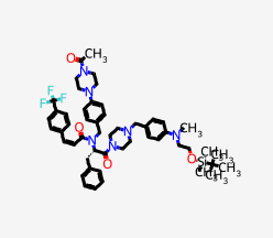 CC(=O)N1CCN(c2ccc(CN(C(=O)/C=C\c3ccc(C(F)(F)F)cc3)[C@@H](Cc3ccccc3)C(=O)N3CCN(Cc4ccc(N(C)CCO[Si](C)(C)C(C)(C)C)cc4)CC3)cc2)CC1